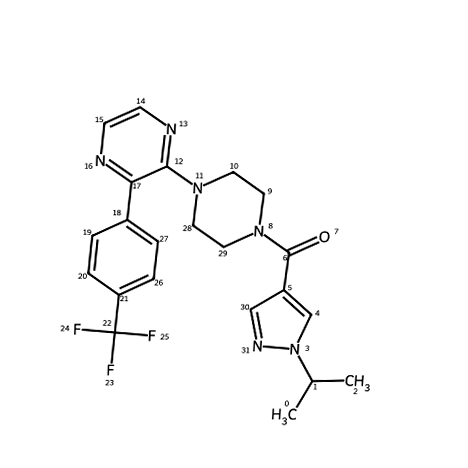 CC(C)n1cc(C(=O)N2CCN(c3nccnc3-c3ccc(C(F)(F)F)cc3)CC2)cn1